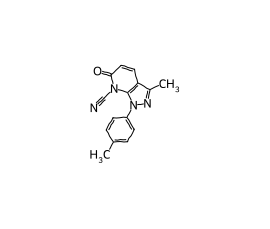 Cc1ccc(-n2nc(C)c3ccc(=O)n(C#N)c32)cc1